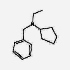 CCN(Cc1ccccc1)[C]1CCCC1